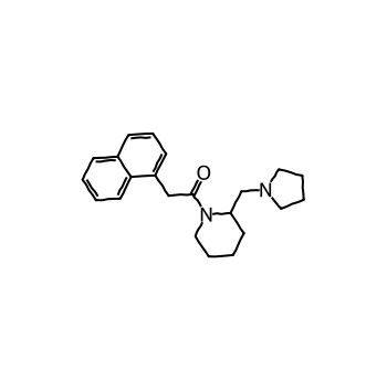 O=C(Cc1cccc2ccccc12)N1CCCCC1CN1CCCC1